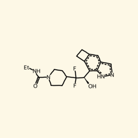 CCNC(=O)N1CCC(C(F)(F)[C@H](O)c2c3c(cc4cn[nH]c24)CC3)CC1